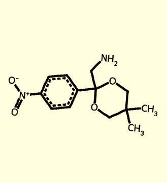 CC1(C)COC(CN)(c2ccc([N+](=O)[O-])cc2)OC1